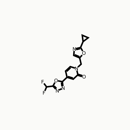 O=c1cc(-c2nnc(C(F)F)o2)ccn1Cc1cnc(C2CC2)o1